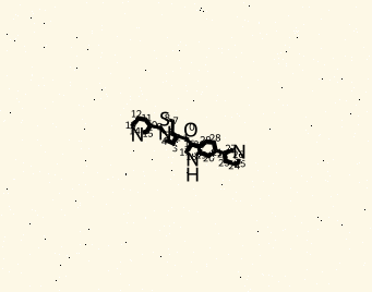 O=C(c1ccn2c1CSC2c1cccnc1)c1c[nH]c2cc(-c3cccnc3)ccc12